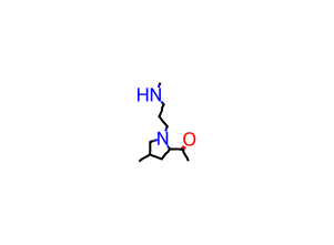 CNCCCN1CC(C)CC1C(C)=O